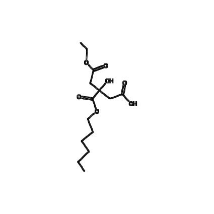 CCCCCCOC(=O)C(O)(CC(=O)O)CC(=O)OCC